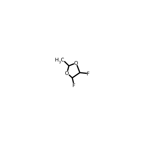 CC1OC(F)C(F)O1